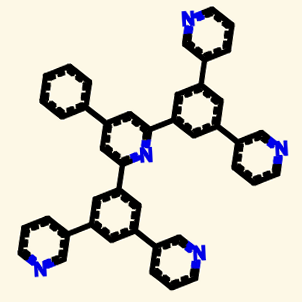 c1ccc(-c2cc(-c3cc(-c4cccnc4)cc(-c4cccnc4)c3)nc(-c3cc(-c4cccnc4)cc(-c4cccnc4)c3)c2)cc1